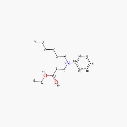 CCCCCCN(CCC(=O)OCC)c1ccccc1